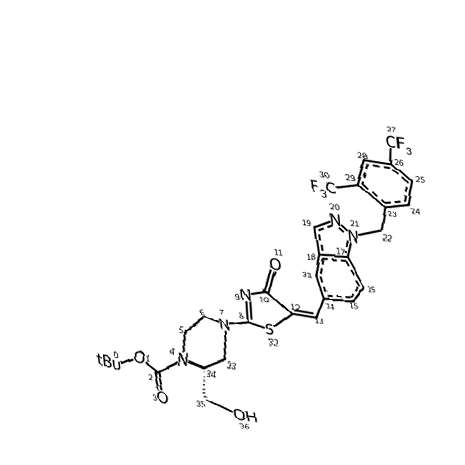 CC(C)(C)OC(=O)N1CCN(C2=NC(=O)C(=Cc3ccc4c(cnn4Cc4ccc(C(F)(F)F)cc4C(F)(F)F)c3)S2)C[C@@H]1CO